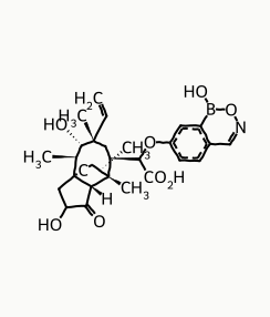 C=C[C@]1(C)C[C@@H](C(Oc2ccc3c(c2)B(O)ON=C3)C(=O)O)[C@@]2(C)[C@H](C)CC[C@]3(CC(O)C(=O)[C@H]32)[C@@H](C)[C@@H]1O